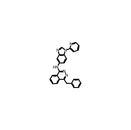 c1ccc(Cc2nnc(Nc3ccc4c(c3)ncn4-c3ccccn3)c3ccccc23)cc1